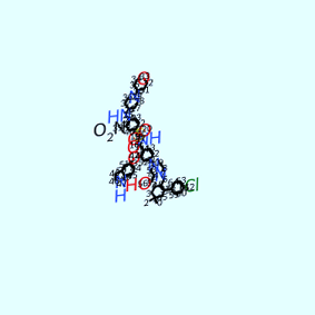 CC1(C)CCC(CN2CCN(c3ccc(C(=O)NS(=O)(=O)c4ccc(NC5CCN(C6CCOCC6)CC5)c([N+](=O)[O-])c4)c(Oc4ccc5[nH]ccc5c4)c3)CC2CO)=C(c2ccc(Cl)cc2)C1